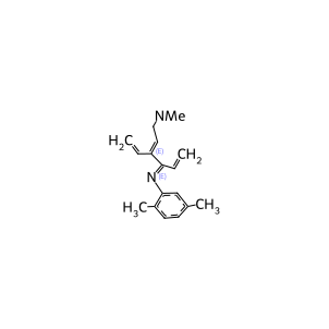 C=CC(=C\CNC)/C(C=C)=N/c1cc(C)ccc1C